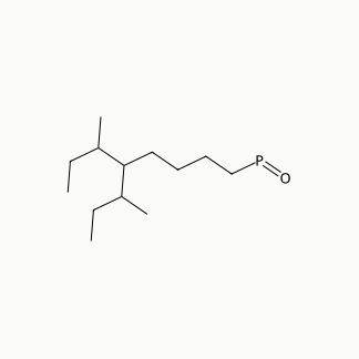 CCC(C)C(CCCCP=O)C(C)CC